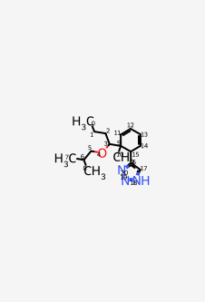 CCCC(OCC(C)C)C1(C)C=CC=CC1c1c[nH]nn1